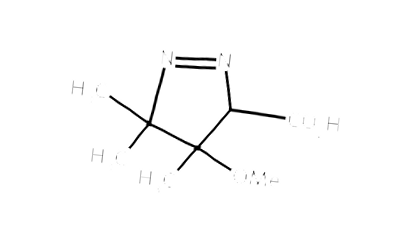 COC1(C)C(C(=O)O)N=NC1(C)C